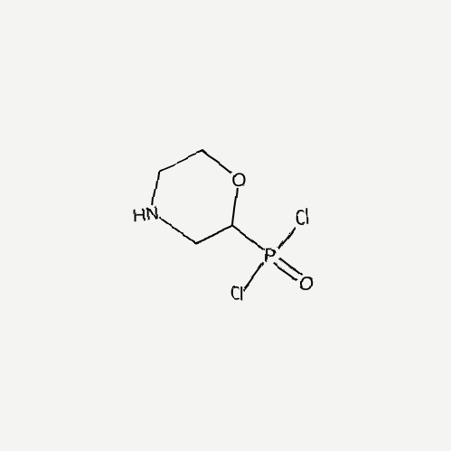 O=P(Cl)(Cl)C1CNCCO1